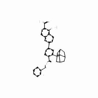 Cc1c(C(=O)O)ccc2cc(-c3ccc(C(=O)OCc4ccccc4)c(C45CC6CC(CC(C6)C4)C5)c3)ccc12